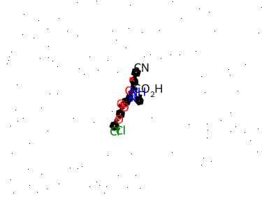 Cc1ccccc1CN1Cc2cc3c(cc2C[C@H]1C(=O)N[C@@H](Cc1ccc(-c2ccc(C#N)cc2)cc1)C(=O)O)OCC(c1ccc(OCc2ccc(Cl)c(Cl)c2)cc1)O3